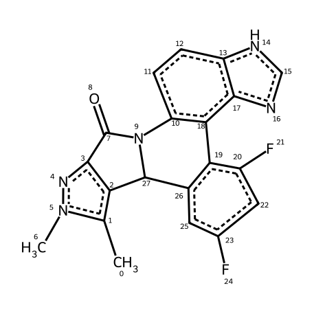 Cc1c2c(nn1C)C(=O)N1c3ccc4[nH]cnc4c3-c3c(F)cc(F)cc3C21